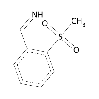 CS(=O)(=O)c1ccccc1C=N